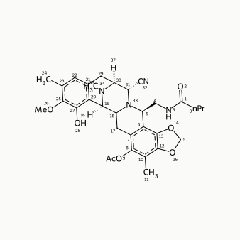 CCCC(=O)NC[C@H]1c2c(c(OC(C)=O)c(C)c3c2OCO3)CC2[C@H]3c4c(cc(C)c(OC)c4O)C[C@@H]([C@H](C#N)N21)N3C